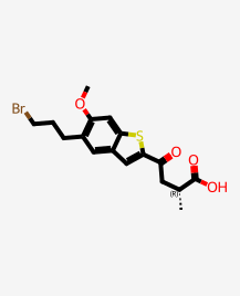 COc1cc2sc(C(=O)C[C@@H](C)C(=O)O)cc2cc1CCCBr